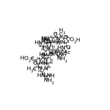 CC[C@H](C)[C@H](NC(=O)[C@H](CC(=O)O)NC(=O)[C@H](C)NC(=O)[C@H](CO)NC(=O)[C@H](CCCNC(=N)N)NC(=O)[C@H](CCCNC(=N)N)NC(=O)[C@H](CCCCN)NC(=O)[C@H](CCC(=O)O)NC(=O)[C@@H](C)CCCNC(=N)N)C(C)=O